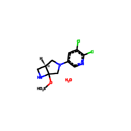 O.O=S(=O)(O)OC12CN(c3cnc(Cl)c(Cl)c3)C[C@@H]1CN2